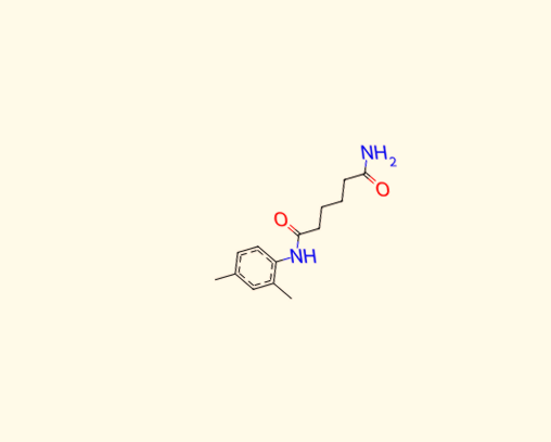 Cc1ccc(NC(=O)CCCCC(N)=O)c(C)c1